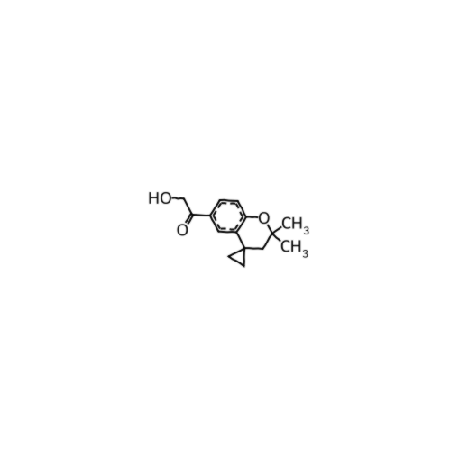 CC1(C)CC2(CC2)c2cc(C(=O)CO)ccc2O1